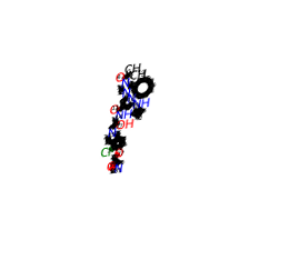 CC(C)C(=O)N1CCN(C2CC(C(=O)NC[C@H](O)CN3CCc4c(ccc(OCc5cnco5)c4Cl)C3)CC(NC3CCC3)N2C2CCCCCCCCC2)CC1